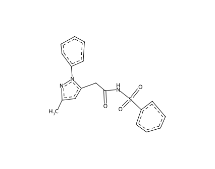 Cc1cc(CC(=O)NS(=O)(=O)c2ccccc2)n(-c2ccccc2)n1